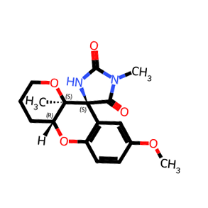 COc1ccc2c(c1)[C@]1(NC(=O)N(C)C1=O)[C@]1(C)OCCC[C@H]1O2